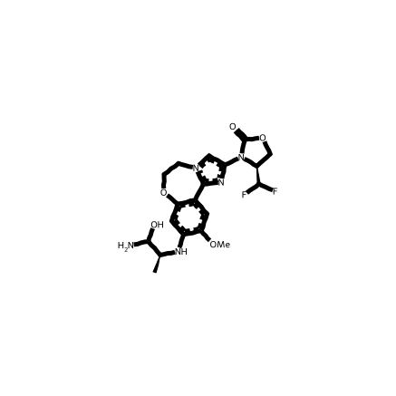 COc1cc2c(cc1N[C@@H](C)C(N)O)OCCn1cc(N3C(=O)OC[C@H]3C(F)F)nc1-2